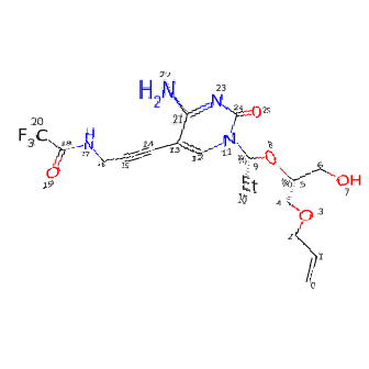 C=CCOC[C@@H](CO)O[C@H](CC)n1cc(C#CCNC(=O)C(F)(F)F)c(N)nc1=O